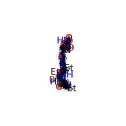 CCOc1cc(N2CCC(N3CCN(CCc4cccc5c4n(C)c(=O)n5C4CCC(=O)NC4=O)CC3)CC2)c(CC)cc1Nc1ncc(Br)c(Nc2ccc3nc(CC)ccc3c2P(C)(C)=O)n1